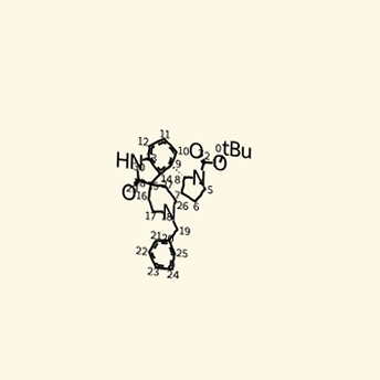 CC(C)(C)OC(=O)N1CCC[C@@H]1c1cccc2c1C1(CCN(Cc3ccccc3)CC1)C(=O)N2